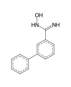 N=C(NO)c1cccc(-c2ccccc2)c1